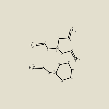 C=CCN(CC=C)CC=C.C=CCN1CCCCC1